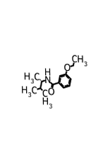 CCOc1cccc(C(=O)N[C@@H](C)C(C)C)c1